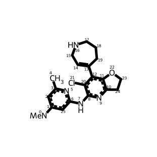 CNc1cc(C)nc(Nc2nc3c(c(C4=CCNCCC4)c2Cl)OCC3)c1